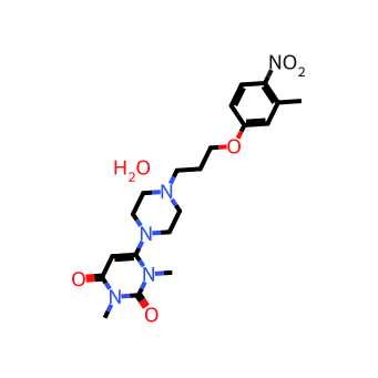 Cc1cc(OCCCN2CCN(c3cc(=O)n(C)c(=O)n3C)CC2)ccc1[N+](=O)[O-].O